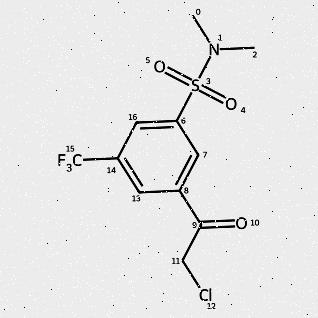 CN(C)S(=O)(=O)c1cc(C(=O)CCl)cc(C(F)(F)F)c1